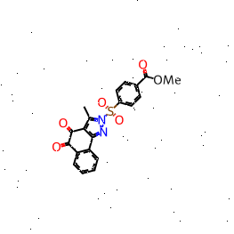 COC(=O)c1ccc(S(=O)(=O)n2nc3c(c2C)C(=O)C(=O)c2ccccc2-3)cc1